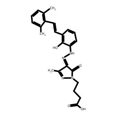 CC1=NN(CCCC(=O)O)C(=O)/C1=N\Nc1cccc(/C=C/c2c(C)cccc2C)c1O